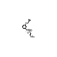 CCCC/C=C/S(=O)(=O)N[C@H](C)c1cccc(OCC2CC2)c1